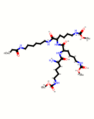 CCCCCCCCCCCC(=O)NCCCCCCNC(=O)C(CCCCNC(=O)OC(C)(C)C)NC(=O)C(CCCCNC(=O)OC(C)(C)C)NC(=O)C(N)CCCCNC(=O)OC(C)(C)C